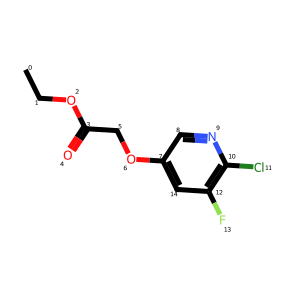 CCOC(=O)COc1cnc(Cl)c(F)c1